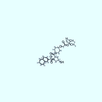 CC(C)(C)OC(=O)COC1CCN(C(=O)C2CC(S)CN2S(=O)(=O)c2ccc3ccccc3c2)CC1